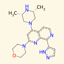 C[C@@H]1CN(c2cc(N3CCOCC3)nc3c(-c4ccn[nH]4)nccc23)C[C@H](C)N1